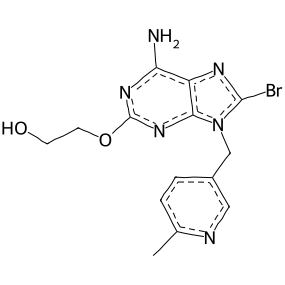 Cc1ccc(Cn2c(Br)nc3c(N)nc(OCCO)nc32)cn1